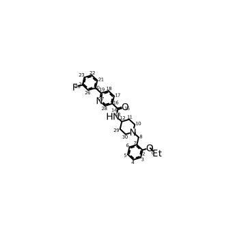 CCOc1ccccc1CN1CCC(NC(=O)c2ccc(-c3cccc(F)c3)nc2)CC1